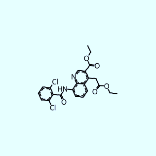 CCOC(=O)Cc1c(C(=O)OCC)cnc2c(NC(=O)c3c(Cl)cccc3Cl)cccc12